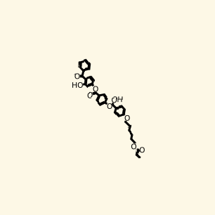 C=CC(=O)OCCCCCCOc1ccc(C(O)Oc2ccc(C(=O)Oc3ccc(C(=O)c4ccccc4)c(O)c3)cc2)cc1